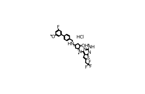 CNc1nc(N(C)[C@H]2C[C@@H](NCc3ccc(-c4cc(F)cc(OC)c4)cc3)C[C@H]2O)c2cc(CC(F)(F)F)sc2n1.Cl